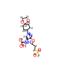 CS(=O)(=O)CCCOc1nn(C2CCC3(CC2)OCCO3)cc1NC(=O)O